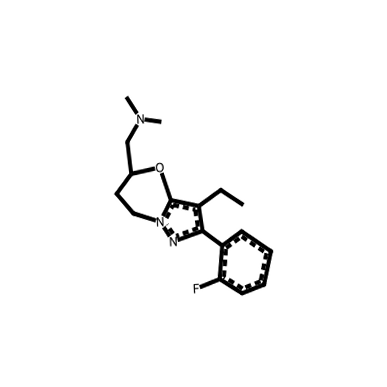 CCc1c(-c2ccccc2F)nn2c1OC(CN(C)C)CC2